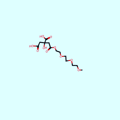 COCCOCCOCCOC(=O)CC(O)(CC(=O)O)C(=O)O